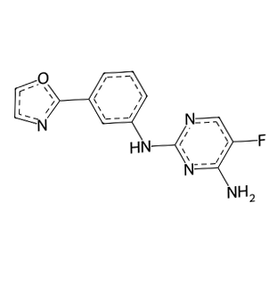 Nc1nc(Nc2cccc(-c3ncco3)c2)ncc1F